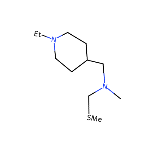 CCN1CCC(CN(C)CSC)CC1